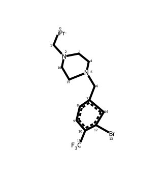 C[C](C)CN1CCN(Cc2ccc(C(F)(F)F)c(Br)c2)CC1